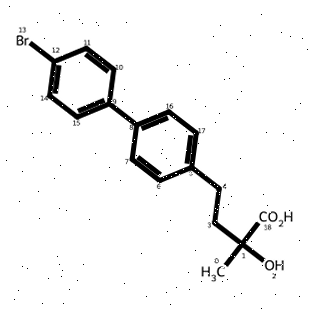 CC(O)(CCc1ccc(-c2ccc(Br)cc2)cc1)C(=O)O